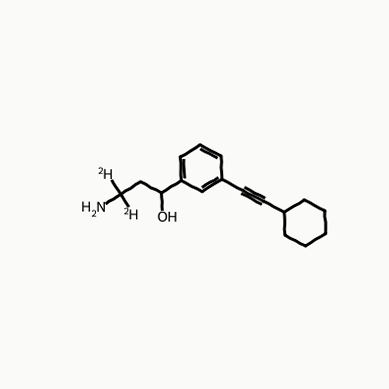 [2H]C([2H])(N)CC(O)c1cccc(C#CC2CCCCC2)c1